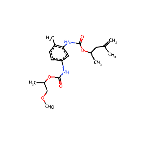 C=C(C)CC(C)OC(=O)Nc1cc(NC(=O)OC(C)COC=O)ccc1C